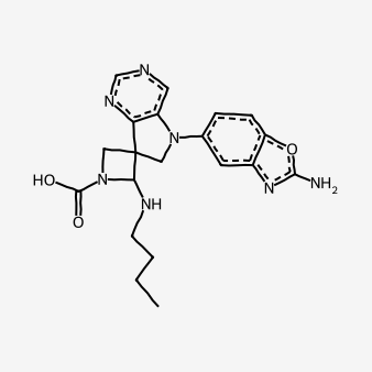 CCCCNC1N(C(=O)O)CC12CN(c1ccc3oc(N)nc3c1)c1cncnc12